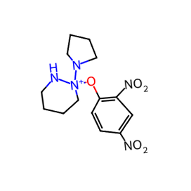 O=[N+]([O-])c1ccc(O[N+]2(N3CCCC3)CCCCN2)c([N+](=O)[O-])c1